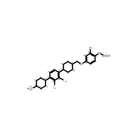 CCCCCCCCOc1ccc(OCC2CCC(c3ccc(C4CCC(C)CC4)c(F)c3F)CC2)cc1F